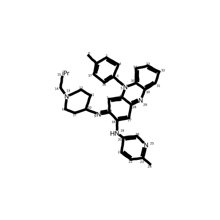 Cc1ccc(-n2c3cc(=NC4CCN(CC(C)C)CC4)c(Nc4ccc(C)nc4)cc-3nc3ccccc32)cc1